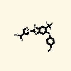 COc1ccc(Sc2cc3nc(-n4cc(C(=O)O)cn4)[nH]c3cc2C(F)(F)F)cc1